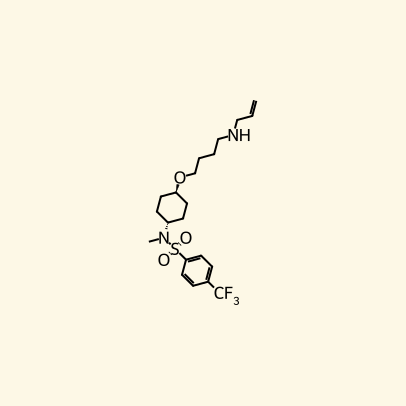 C=CCNCCCCO[C@H]1CC[C@H](N(C)S(=O)(=O)c2ccc(C(F)(F)F)cc2)CC1